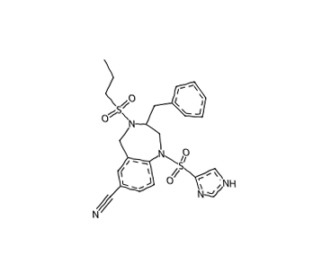 CCCS(=O)(=O)N1Cc2cc(C#N)ccc2N(S(=O)(=O)c2c[nH]cn2)CC1Cc1ccccc1